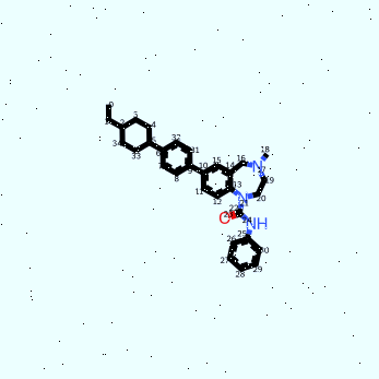 CCC1CCC(c2ccc(-c3ccc4c(c3)CN(C)CCN4C(=O)Nc3ccccc3)cc2)CC1